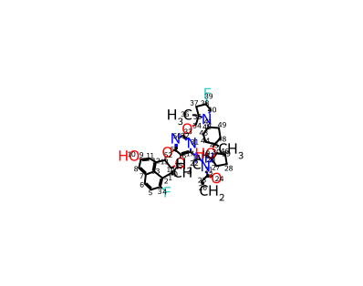 C#Cc1c(F)ccc2cc(O)cc(C3COc4c(NCC5(N(C)C(=O)C=C)CCCC5)nc(OC[C@]5(C)C[C@@H](F)CN5C5CCC(C)(O)CC5)nc4O3)c12